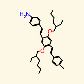 CCCCC(CC)COc1cc(/C=C/c2ccc(N)cc2)c(OCC(CC)CCCC)cc1/C=C/c1ccc(C)cc1